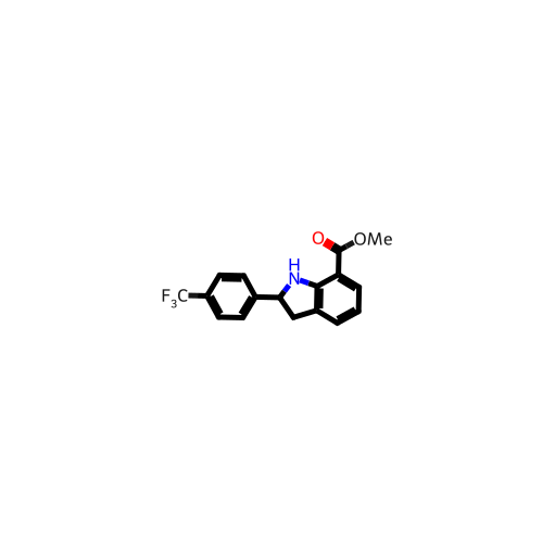 COC(=O)c1cccc2c1NC(c1ccc(C(F)(F)F)cc1)C2